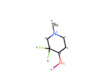 CC(C)(C)N1CCC(OI)C(F)(F)C1